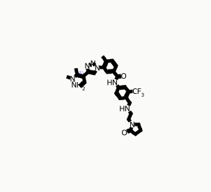 C=C/C(=C(/C)N(C)N)c1cn(-c2cc(C(=O)Nc3ccc(CNCCN4CCCC4=O)c(C(F)(F)F)c3)ccc2C)nn1